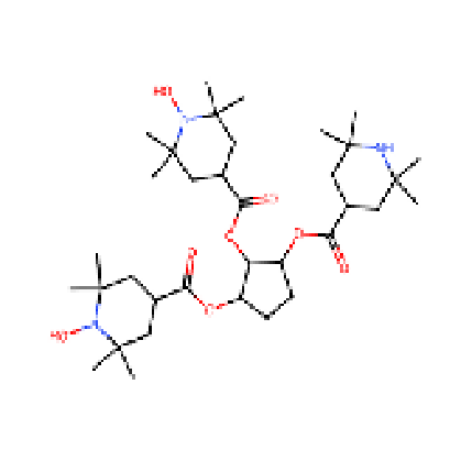 CC1(C)CC(C(=O)OC2CCC(OC(=O)C3CC(C)(C)N(O)C(C)(C)C3)C2OC(=O)C2CC(C)(C)N(O)C(C)(C)C2)CC(C)(C)N1